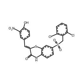 O=C1Nc2ccc(S(=O)(=O)Cc3c(Cl)cccc3Cl)cc2SC1=Cc1ccc(O)c([N+](=O)[O-])c1